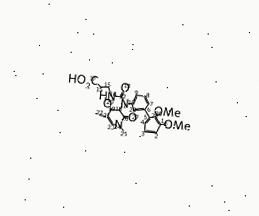 COc1cccc(-c2cccc(N(C(=O)NCCC(=O)O)C3C(=O)C(C)=CN(C)C3=O)c2)c1OC